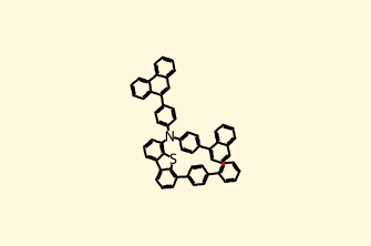 c1ccc(-c2ccc(-c3cccc4c3sc3c(N(c5ccc(-c6cccc7ccccc67)cc5)c5ccc(-c6cc7ccccc7c7ccccc67)cc5)cccc34)cc2)cc1